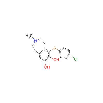 CN1CCc2cc(O)c(O)c(Sc3ccc(Cl)cc3)c2CC1